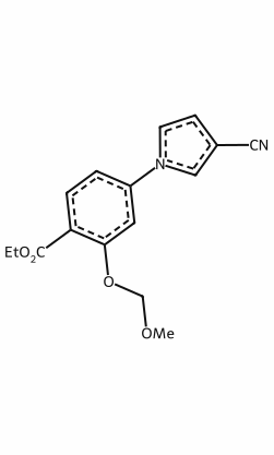 CCOC(=O)c1ccc(-n2ccc(C#N)c2)cc1OCOC